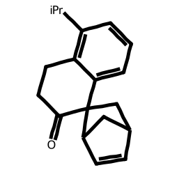 CC(C)c1cccc2c1CCC(=O)C21CC2C=CC1C2